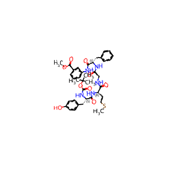 COC(=O)c1cccc(NC(=O)[C@H](Cc2ccccc2)NC(=O)CNC(=O)[C@@H](CCSC)NC(=O)[C@H](Cc2ccc(O)cc2)NC(=O)OC(C)(C)C)c1